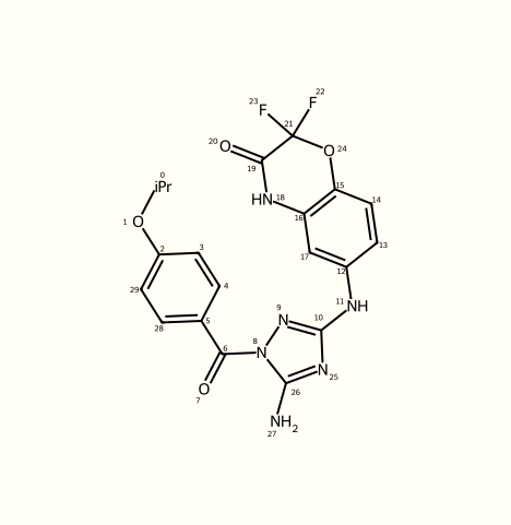 CC(C)Oc1ccc(C(=O)n2nc(Nc3ccc4c(c3)NC(=O)C(F)(F)O4)nc2N)cc1